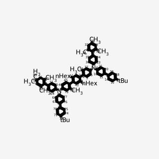 CCCCCCc1cc(-c2ccc(N(c3ccc(-c4ccc(C(C)(C)C)cc4)cc3)c3ccc(-c4c(C)cc(C)cc4C)cc3)cc2C)c(CCCCCC)cc1-c1ccc(N(c2ccc(C3=C(C)CC(C)(C)C=C3C)cc2)c2ccc(-c3ccc(C(C)(C)C)cc3)cc2)cc1C